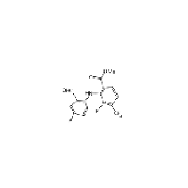 COC(=O)c1ccc(C(F)(F)F)c(F)c1Nc1ccc(F)cc1C=O